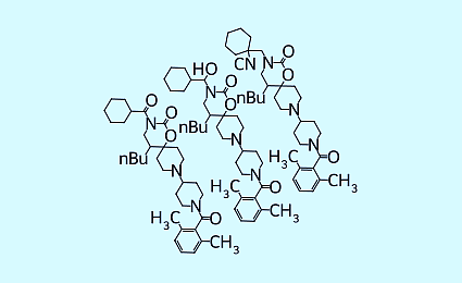 CCCCC1CN(C(=O)C2CCCCC2)C(=O)OC12CCN(C1CCN(C(=O)c3c(C)cccc3C)CC1)CC2.CCCCC1CN(C(O)C2CCCCC2)C(=O)OC12CCN(C1CCN(C(=O)c3c(C)cccc3C)CC1)CC2.CCCCC1CN(CC2(C#N)CCCCC2)C(=O)OC12CCN(C1CCN(C(=O)c3c(C)cccc3C)CC1)CC2